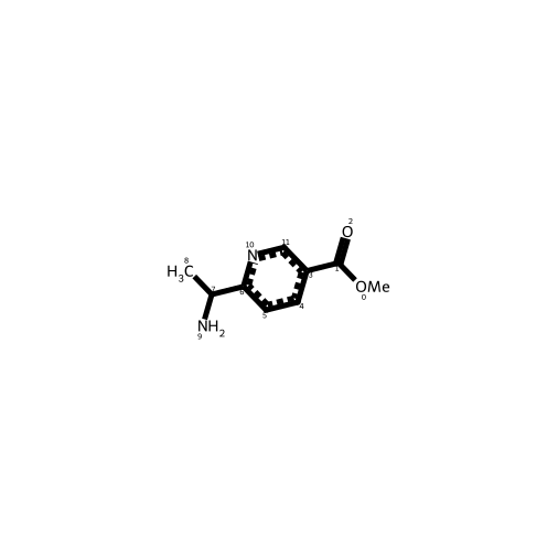 COC(=O)c1ccc(C(C)N)nc1